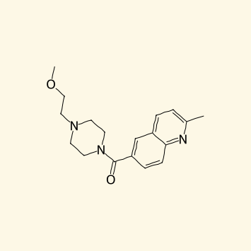 COCCN1CCN(C(=O)c2ccc3nc(C)ccc3c2)CC1